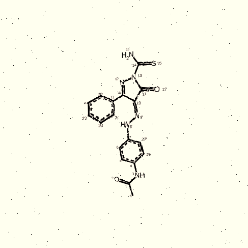 CC(=O)Nc1ccc(N/N=C2/C(=O)N(C(N)=S)N=C2c2ccccc2)cc1